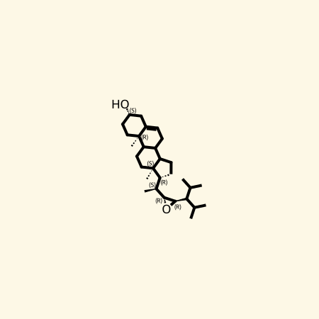 CC(C)C(C(C)C)[C@H]1O[C@@H]1[C@@H](C)[C@H]1CCC2C3CC=C4C[C@@H](O)CC[C@]4(C)C3CC[C@@]21C